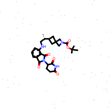 C[C@@H](CNc1cccc2c1C(=O)N(C1CCC(=O)NC1=O)C2=O)C1CC2(C1)CN(C(=O)OC(C)(C)C)C2